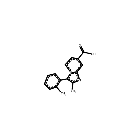 Cc1ccccc1-c1c(C)nc2cc(C(=O)O)ccn12